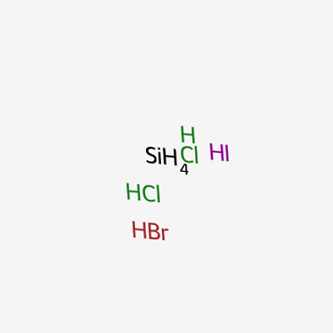 Br.Cl.Cl.I.[SiH4]